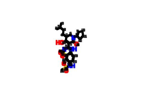 CC(C)CCC1CN(C2CCCC2)C(=O)C(C2=NS(=O)(=O)c3cc(NS(C)(=O)=O)ccc3N2)=C1O